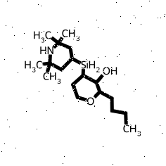 CCCCC1OCCC([SiH2]C2CC(C)(C)NC(C)(C)C2)C1O